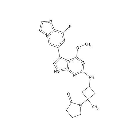 COc1nc(NC2CC(C)(N3CCCC3=O)C2)nc2[nH]cc(-c3cc(F)c4nccn4c3)c12